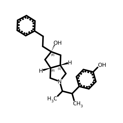 CC(c1ccc(O)cc1)C(C)N1C[C@@H]2C[C@@](O)(CCc3ccccc3)C[C@@H]2C1